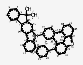 CC1(C)c2ccccc2-c2cc3c4ccccc4n(-c4ccc5c(c4)c4c(-c6ccccc6)ccc6oc7cccc5c7c64)c3cc21